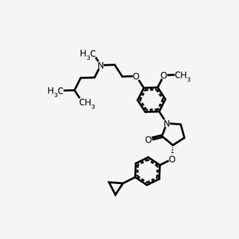 COc1cc(N2CC[C@H](Oc3ccc(C4CC4)cc3)C2=O)ccc1OCCN(C)CCC(C)C